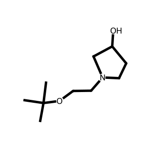 CC(C)(C)OCCN1CCC(O)C1